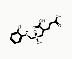 O=C(O)CCC(CP(=O)(O)CNc1ccccc1Cl)C(=O)O